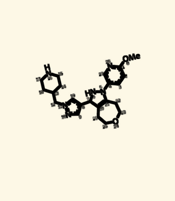 COc1ccc(N2NC(c3cnn(CC4CCNCC4)c3)C3=C2CCOCC3)cn1